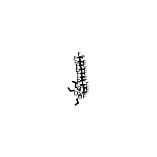 CCCO[Si](OCCC)(OCCC)C(F)(F)C(F)(F)C(F)(F)C(F)(F)C(F)(F)C(F)(F)C(F)(F)C(F)(F)C(F)(F)C(F)(F)F